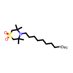 CCCCCCCCCCCCCCCCCCN1C(C)(C)CS(=O)(=O)CC1(C)C